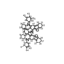 Cc1cc(N(c2ccccc2)c2cc3c4ccccc4oc3c3c2c2cccc4c5c(N(c6ccccc6)c6cc(C)c(C)c(C)c6)cc6c7ccccc7oc6c5n3c24)cc(C)c1C